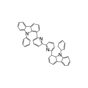 C1=CCC(N2c3ccccc3C3=CC=CC(c4cccc(-c5cccc(-c6cccc7c8ccccc8n(-c8ccccc8)c67)n5)n4)C32)C=C1